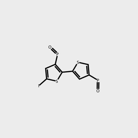 O=Pc1csc(-c2sc(I)cc2P=O)c1